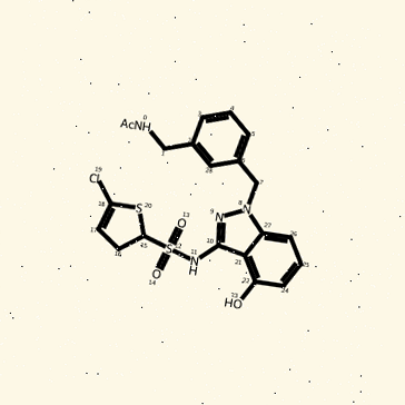 CC(=O)NCc1cccc(Cn2nc(NS(=O)(=O)C3CC=C(Cl)S3)c3c(O)cccc32)c1